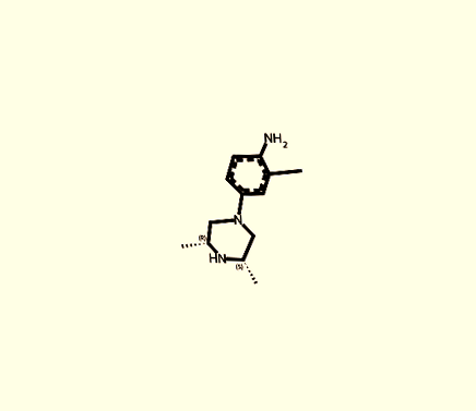 Cc1cc(N2C[C@@H](C)N[C@@H](C)C2)ccc1N